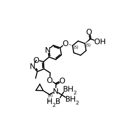 BC(B)(B)N(C(=O)OCc1c(C)noc1-c1ccc(O[C@H]2CCC[C@H](C(=O)O)C2)cn1)[C@H](C)C1CC1